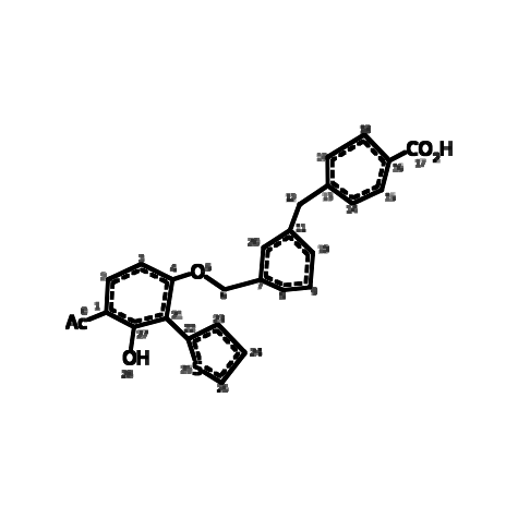 CC(=O)c1ccc(OCc2cccc(Cc3ccc(C(=O)O)cc3)c2)c(-c2cccs2)c1O